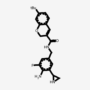 CC(C)(C)c1ccc2c(c1)OCC(C(=O)NCc1cc(F)c(N)c(C3CN3)c1)=C2